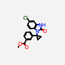 COC(=O)c1cccc(C2(n3c(=O)[nH]c4cc(Cl)ccc43)CC2)c1